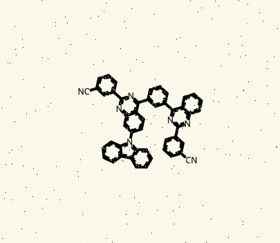 N#Cc1cccc(-c2nc(-c3cccc(-c4nc(-c5cccc(C#N)c5)nc5cc(-n6c7ccccc7c7ccccc76)ccc45)c3)c3ccccc3n2)c1